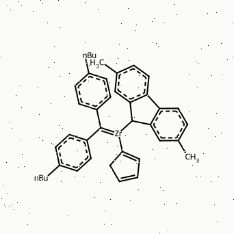 CCCCc1ccc([C](c2ccc(CCCC)cc2)=[Zr]([C]2=CC=CC2)[CH]2c3cc(C)ccc3-c3ccc(C)cc32)cc1